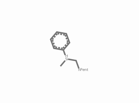 CCCCCC[SiH](C)c1ccccc1